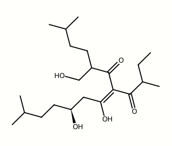 CCC(C)C(=O)/C(C(=O)C(CO)CCC(C)C)=C(\O)C[C@@H](O)CCC(C)C